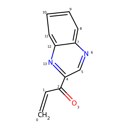 C=CC(=O)c1cnc2ccccc2n1